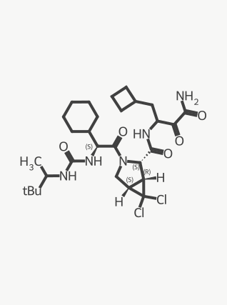 CC(NC(=O)N[C@H](C(=O)N1C[C@@H]2[C@H]([C@H]1C(=O)NC(CC1CCC1)C(=O)C(N)=O)C2(Cl)Cl)C1CCCCC1)C(C)(C)C